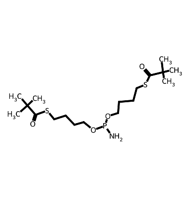 CC(C)(C)C(=O)SCCCCOP(N)OCCCCSC(=O)C(C)(C)C